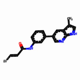 CC/C=C/C(=O)Nc1cccc(-c2cnc3[nH]cc(C)c3c2)c1